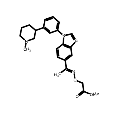 COC(=O)CON=C(C)c1ccc2c(c1)ncn2-c1cccc(C2CCCN(C)C2)c1